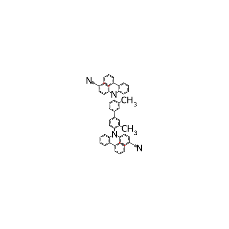 Cc1cc(-c2ccc(N(c3ccc(C#N)cc3)c3ccccc3-c3ccccc3)c(C)c2)ccc1N(c1ccc(C#N)cc1)c1ccccc1-c1ccccc1